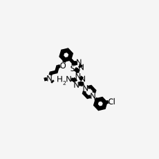 CN(C)CCCOc1ccccc1-c1nnc(-n2nc(N3CCN(c4cccc(Cl)c4)CC3)nc2N)s1